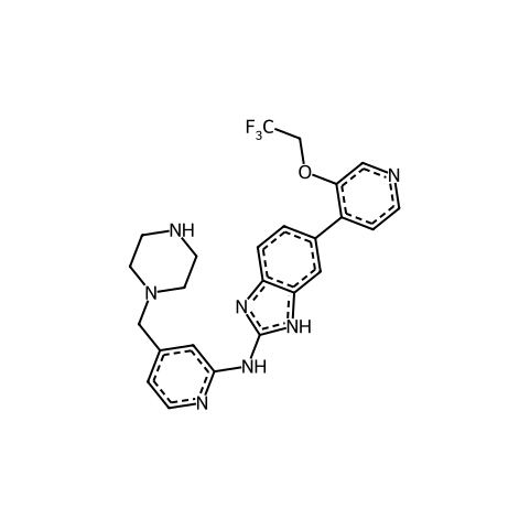 FC(F)(F)COc1cnccc1-c1ccc2nc(Nc3cc(CN4CCNCC4)ccn3)[nH]c2c1